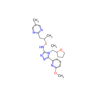 COc1cccc(-c2nnc(NSC(C)Cc3ncc(C)cn3)n2[C@H](C)C2CCCO2)n1